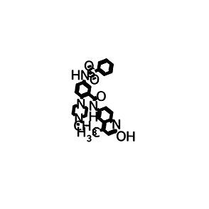 Cc1cc(O)nc2ccc(NC(=O)c3cc(NS(=O)(=O)c4ccccc4)ccc3N3CCN(C)CC3)cc12